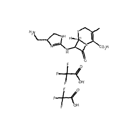 CC1=C(C(=O)O)N2C(=O)C(NC3=NC(CN)CN3)[C@@H]2SC1.O=C(O)C(F)(F)F.O=C(O)C(F)(F)F